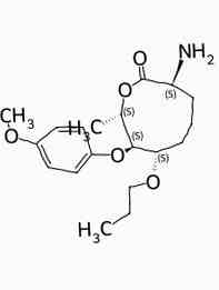 CCCO[C@H]1CCC[C@H](N)C(=O)O[C@@H](C)[C@@H]1Oc1ccc(OC)cc1